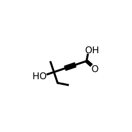 CCC(C)(O)C#CC(=O)O